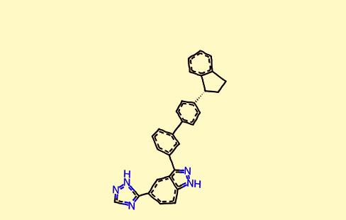 c1cc(-c2ccc([C@H]3CCc4ccccc43)cc2)cc(-c2n[nH]c3ccc(-c4ncn[nH]4)cc23)c1